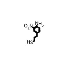 Nc1ccc(CCCS)cc1[N+](=O)[O-]